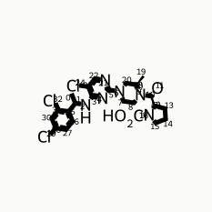 CC(Nc1nc(N2CCN(C(=O)[C@H]3CCCN3C(=O)O)[C@H](C)C2)ncc1Cl)c1ccc(Cl)cc1Cl